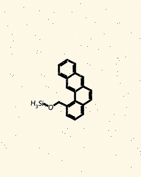 [SiH3]OCc1cccc2ccc3cc4ccccc4cc3c12